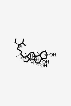 CC[C@H](CC[C@@H](C)[C@H]1CC[C@H]2[C@@H]3C[C@H](O)[C@@]4(O)C[C@@H](O)CC[C@]4(C)[C@H]3CC[C@]12C)C(C)C